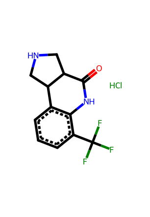 Cl.O=C1Nc2c(cccc2C(F)(F)F)C2CNCC12